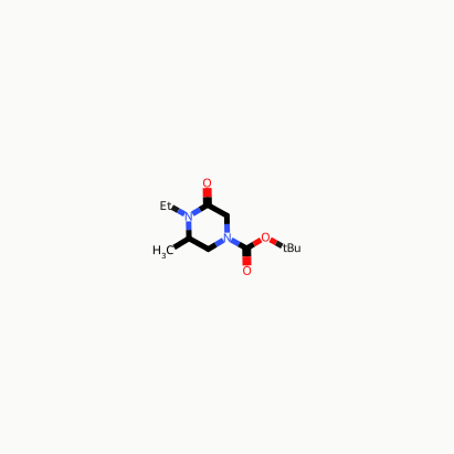 CCN1C(=O)CN(C(=O)OC(C)(C)C)CC1C